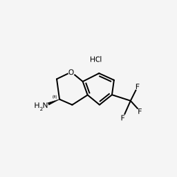 Cl.N[C@H]1COc2ccc(C(F)(F)F)cc2C1